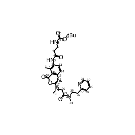 Cc1c(NC(=O)CCNC(=O)OC(C)(C)C)ccc2nc(N(C)CC(=O)N(C)CCc3ccccn3)oc(=O)c12